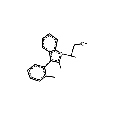 Cc1ccccc1-c1c(C)n(C(C)CO)c2ccccc12